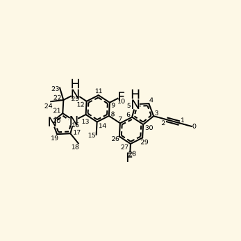 CC#Cc1c[nH]c2c(-c3c(F)cc4c(c3C)-n3c(C)cnc3C(C)(C)N4)cc(F)cc12